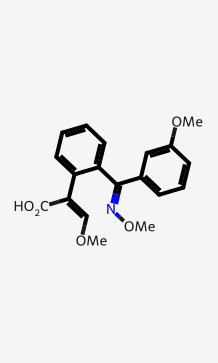 COC=C(C(=O)O)c1ccccc1C(=NOC)c1cccc(OC)c1